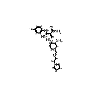 N=C(Nc1ccc(F)cc1)/C(=C\N[C@@H]1CCN(COCCN2CCCC2)C[C@H]1N)C(N)=O